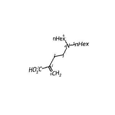 C=C(CCN(CCCCCC)CCCCCC)C(=O)O